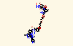 C[C@@H](NC(=O)c1cccc(NC2(c3nnc(-c4ccncc4)[nH]3)CCN(C)CC2)c1)c1cccc(OCCCCCOCCCOCCNc2cccc3c2CN(C2CCC(O)NC2=O)C3=O)c1